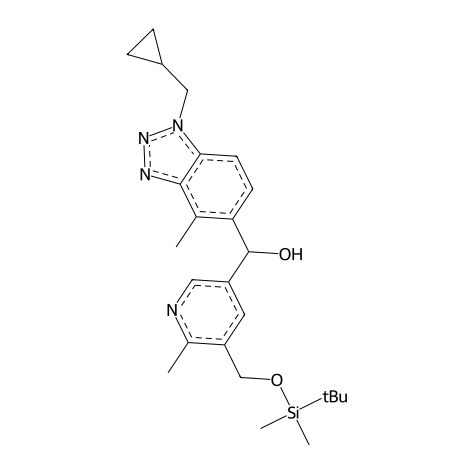 Cc1ncc(C(O)c2ccc3c(nnn3CC3CC3)c2C)cc1CO[Si](C)(C)C(C)(C)C